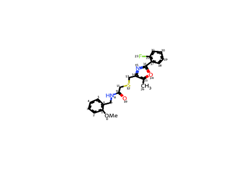 COc1ccccc1CNC(=O)CSCc1nc(-c2ccccc2F)oc1C